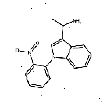 CC(N)c1cn(-c2ccccc2[N+](=O)[O-])c2ccccc12